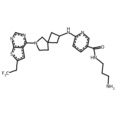 NCCCNC(=O)c1ccc(NC2CC3(CCN(c4ncnc5sc(CC(F)(F)F)cc45)C3)C2)nc1